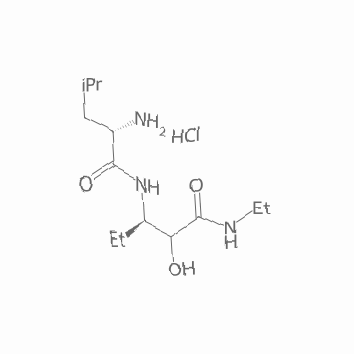 CCNC(=O)C(O)[C@@H](CC)NC(=O)[C@@H](N)CC(C)C.Cl